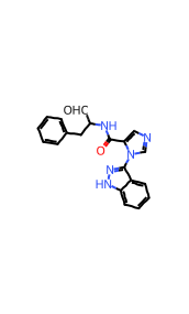 O=CC(Cc1ccccc1)NC(=O)c1cncn1-c1n[nH]c2ccccc12